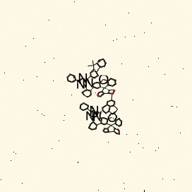 CC1(C)c2ccccc2-c2ccc(-c3nc(-c4ccccc4)nc(-c4ccccc4-c4ccc5c(c4)C4(c6ccccc6O5)c5ccccc5-c5c(-c6cc7c8c(cc(-c9nc(-c%10ccccc%10)nc(-c%10ccccc%10-c%10ccc%11c(c%10)C%10(c%12ccccc%12O%11)c%11ccccc%11-c%11ccccc%11%10)n9)cc8c6)C=CC7)cccc54)n3)cc21